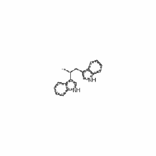 [CH2]C(Cc1c[nH]c2ccccc12)c1c[nH]c2ccccc12